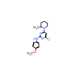 COc1ccc(Nc2nc(Cl)cc(N3CCCCC3C)n2)cc1